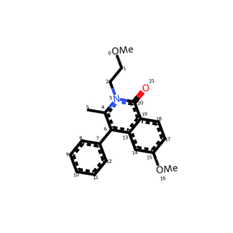 COCCn1c(C)c(-c2ccccc2)c2cc(OC)ccc2c1=O